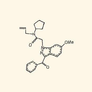 C=CCN(C(=O)Cn1nc(C(=O)c2ccccc2)c2ccc(OC)cc21)C1CCCC1